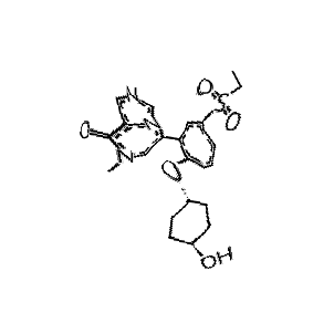 CCS(=O)(=O)c1ccc(O[C@H]2CC[C@H](O)CC2)c(-c2cn(C)c(=O)c3cncn23)c1